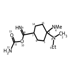 CCN(C)C1(NC)CCC(C(=N)OC(N)=O)CC1